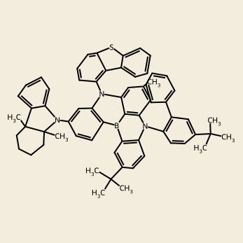 Cc1cc2c3c(c1)N(c1cccc4sc5ccccc5c14)c1cc(N4c5ccccc5C5(C)CCCCC45C)ccc1B3c1cc(C(C)(C)C)ccc1N2c1ccc(C(C)(C)C)cc1-c1ccccc1